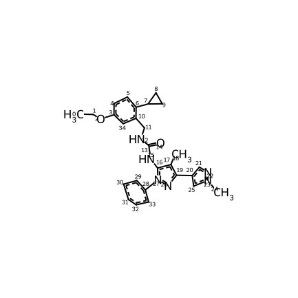 CCOc1ccc(C2CC2)c(CNC(=O)Nc2c(C)c(-c3cnn(C)c3)nn2-c2ccccc2)c1